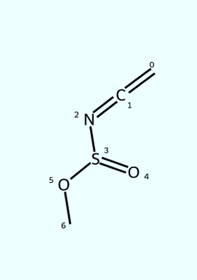 C=C=NS(=O)OC